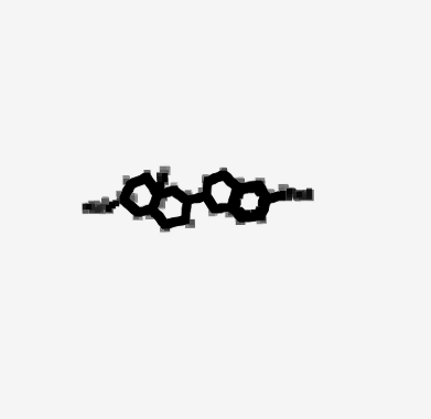 CCCCCC[C@@H]1CC[C@@H]2CC(C3CCc4cc(CCCCC)ccc4C3)CCC2C1